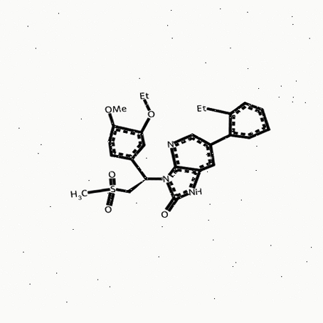 CCOc1cc([C@H](CS(C)(=O)=O)n2c(=O)[nH]c3cc(-c4ccccc4CC)cnc32)ccc1OC